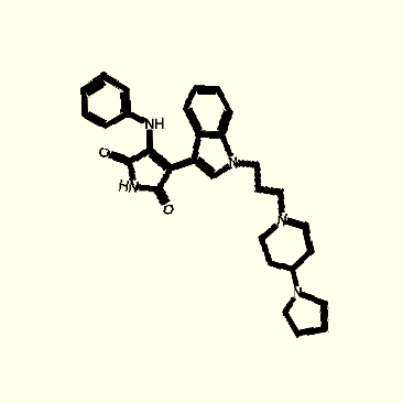 O=C1NC(=O)C(c2cn(CCCN3CCC(N4CCCC4)CC3)c3ccccc23)=C1Nc1ccccc1